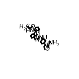 C=CC(=O)Nc1cccnc1-c1cccc2cnc(Nc3ccc(N4CCOC[C@@H]4CN)cc3)nc12